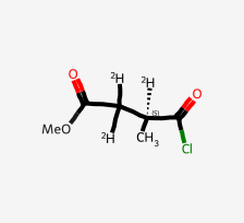 [2H]C([2H])(C(=O)OC)[C@]([2H])(C)C(=O)Cl